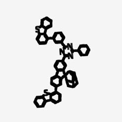 c1ccc(-c2nc(-c3cccc(-c4cccc5sc6ccccc6c45)c3)nc(-c3ccc4c(c3)C3(c5cc(-c6cccc7c6sc6ccccc67)ccc5-4)C4CC5CC(C4)CC3C5)n2)cc1